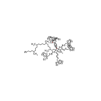 CCO[Si](CSSSSC(CCC(C)CCCC(C)CCCCC(C)CCCC(C)CCCC(C)C)(SSSSC[Si](OCC)(OCC)OCC)C(C)(SSSSC[Si](OCC)(OCC)OCC)C(SSSSC[Si](OCC)(OCC)OCC)(SSSSC[Si](OCC)(OCC)OCC)SSSSC[Si](OCC)(OCC)OCC)(OCC)OCC